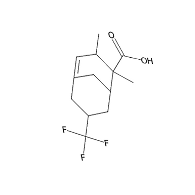 CC1C=C2CC(C(F)(F)F)CC(C2)C1(C)C(=O)O